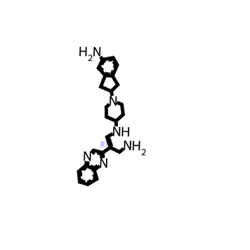 NC/C(=C\NC1CCN(C2Cc3ccc(N)cc3C2)CC1)c1cnc2ccccc2n1